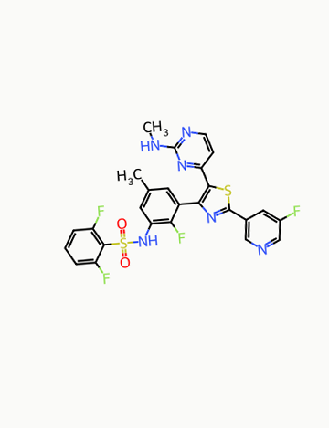 CNc1nccc(-c2sc(-c3cncc(F)c3)nc2-c2cc(C)cc(NS(=O)(=O)c3c(F)cccc3F)c2F)n1